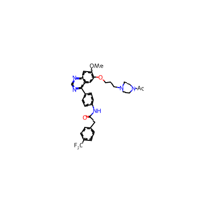 COc1cc2ncnc(-c3ccc(NC(=O)Cc4ccc(C(F)(F)F)cc4)cc3)c2cc1OCCCN1CCN(C(C)=O)CC1